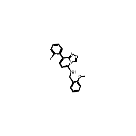 COc1ccccc1CNc1ccc(-c2ccccc2F)c2nncn12